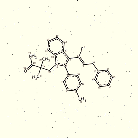 Cc1ccc(-c2c(/C(F)=C/Cc3ccccc3)c3ccccc3n2CC(C)(C)C(N)=O)cc1